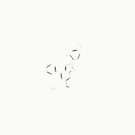 COC(=O)c1cc(-c2ccccc2)c2cn(-c3ccc(N)cc3F)nc2c1